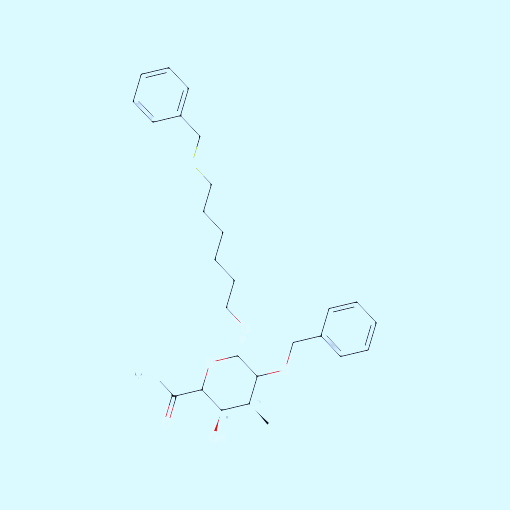 COC(=O)C1O[C@H](OCCCCCCSCc2ccccc2)C(OCc2ccccc2)[C@@H](C)[C@H]1O